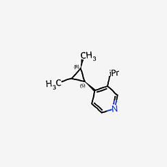 CC(C)c1cnccc1[C@H]1C(C)[C@H]1C